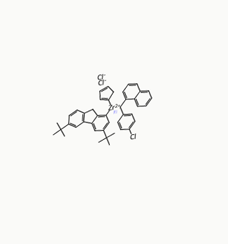 CC(C)(C)c1ccc2c(c1)-c1cc(C(C)(C)C)c[c](/[Zr+2]([C]3=CC=CC3)=[C](\c3ccc(Cl)cc3)c3cccc4ccccc34)c1C2.[Cl-].[Cl-]